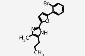 CCCc1[nH]c(-c2ccc(-c3ccccc3Br)o2)nc1C